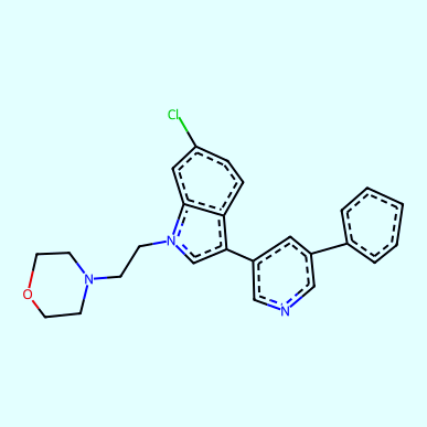 Clc1ccc2c(-c3cncc(-c4ccccc4)c3)cn(CCN3CCOCC3)c2c1